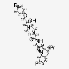 Cc1ccc(F)cc1-n1nc(CNC(=O)CN2CCN(C[C@H](O)COc3ccc(F)cc3)CC2)cc1CC(C)C